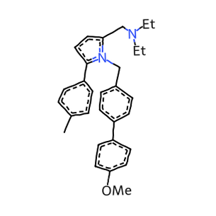 CCN(CC)Cc1ccc(-c2ccc(C)cc2)n1Cc1ccc(-c2ccc(OC)cc2)cc1